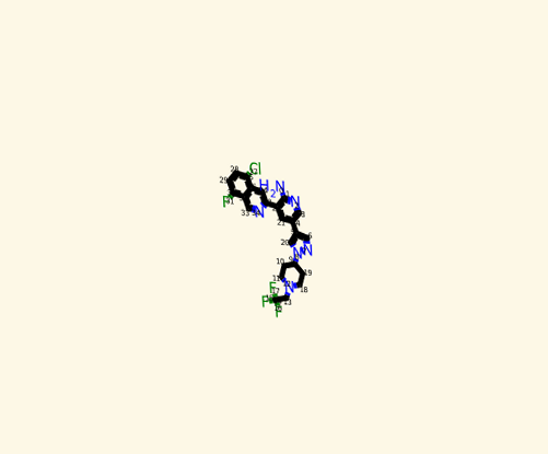 Nc1ncc(-c2cnn(C3CCN(CC(F)(F)F)CC3)c2)cc1-c1cc2c(Cl)ccc(F)c2cn1